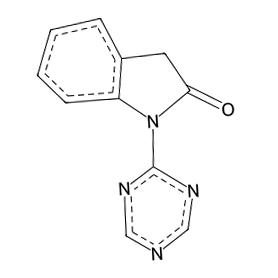 O=C1Cc2ccccc2N1c1ncncn1